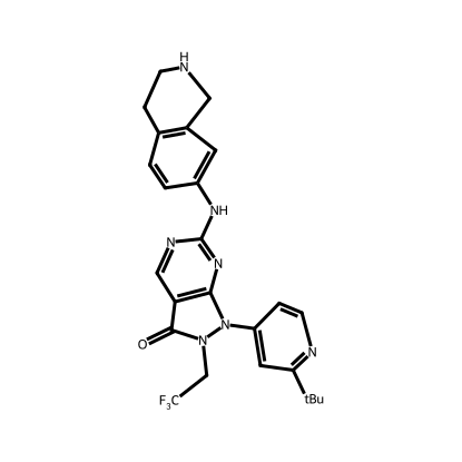 CC(C)(C)c1cc(-n2c3nc(Nc4ccc5c(c4)CNCC5)ncc3c(=O)n2CC(F)(F)F)ccn1